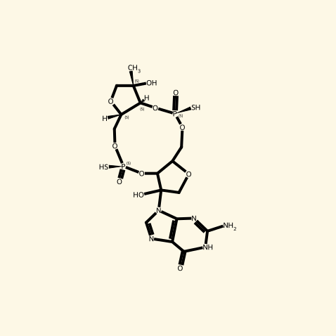 C[C@]1(O)CO[C@H]2CO[P@](=O)(S)OC3C(CO[P@](=O)(S)O[C@@H]21)OCC3(O)n1cnc2c(=O)[nH]c(N)nc21